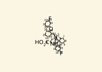 N[C@@H](CCN(Cc1ccccc1OCc1ccc(F)cc1)Cc1ccccc1Oc1cccc(F)c1)C(=O)O